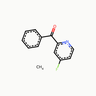 C.O=C(c1ccccc1)c1cc(F)ccn1